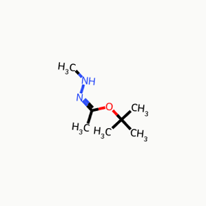 CNN=C(C)OC(C)(C)C